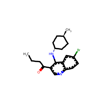 CCCC(=O)c1cnc2ccc(Br)cc2c1N[C@H]1CC[C@H](C)CC1